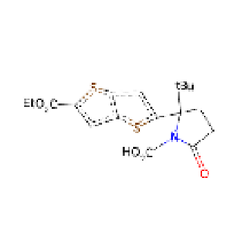 CCOC(=O)c1cc2sc(C3(C(C)(C)C)CCC(=O)N3C(=O)O)cc2s1